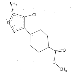 COC(=O)C1CCC(c2noc(C)c2Cl)CC1